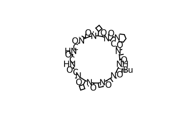 CC[C@H](C)C1NC(=O)C(C)N(C)C(=O)CC(C(=O)N2CCCCC2)N(C)C(=O)C(C2CCC2)N(C)C(=O)C(C)(C)N(C)C(=O)CNC(=O)CNC(=O)CN(C)C(=O)C(C2CCC2)N(C)C(=O)C2CCN2C(=O)C(C)N(C)C1=O